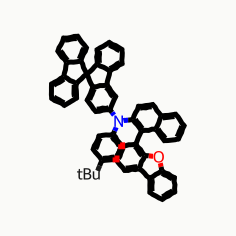 CC(C)(C)c1ccc(N(c2ccc3c(c2)-c2ccccc2C32c3ccccc3-c3ccccc32)c2ccc3ccccc3c2-c2cccc3c2oc2ccccc23)cc1